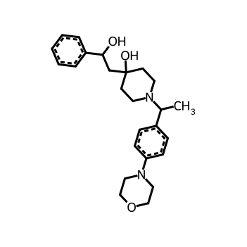 CC(c1ccc(N2CCOCC2)cc1)N1CCC(O)(CC(O)c2ccccc2)CC1